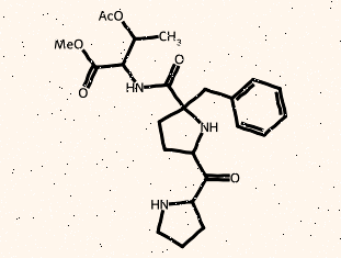 COC(=O)C(NC(=O)C1(Cc2ccccc2)CCC(C(=O)C2CCCN2)N1)C(C)OC(C)=O